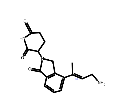 C/C(=C\CN)c1cccc2c1CN(C1CCC(=O)NC1=O)C2=O